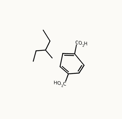 CCC(C)CC.O=C(O)c1ccc(C(=O)O)cc1